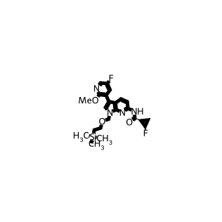 COc1ncc(F)cc1-c1cn(COCC[Si](C)(C)C)c2nc(NC(=O)[C@@H]3C[C@@H]3F)ccc12